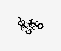 CCC1CC[C@@H](C)[C@](O)(C(=O)C(=O)N2CCCC[C@H]2C(=O)O[C@@H](C(C)C)[C@H](CC)Cc2ccccc2)O1